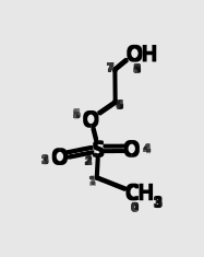 CCS(=O)(=O)OCCO